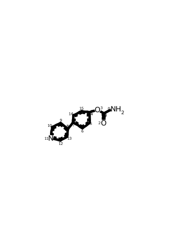 NC(=O)Oc1ccc(-c2ccncc2)cc1